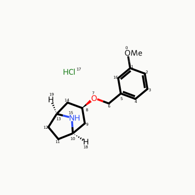 COc1cccc(CO[C@H]2C[C@H]3CC[C@@H](C2)N3)c1.Cl